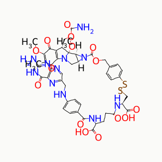 COC1=C(C)C(=O)C2=C(C1=O)[C@@H](COC(N)=O)[C@@]1(OC)[C@@H]3[C@H](CN21)N3C(=O)OCc1ccc(SSC[C@H](NC(=O)CCC(NC(=O)c2ccc(NCc3cnc4nc(N)[nH]c(=O)c4n3)cc2)C(=O)O)C(=O)O)cc1